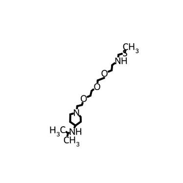 CSCNCCOCCOCCOCCN1CCC(NC(C)C)CC1